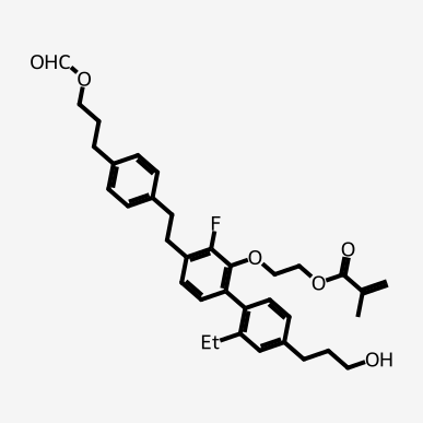 C=C(C)C(=O)OCCOc1c(-c2ccc(CCCO)cc2CC)ccc(CCc2ccc(CCCOC=O)cc2)c1F